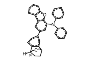 c1ccc(N(c2ccccc2)c2cc(-c3ccc4c(c3)C3CCC[C@@H]4CC3)cc3c2oc2ccccc23)cc1